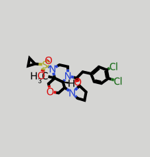 CC12COCC(N3CCCC3)[C@H]1N(C(=O)Cc1ccc(Cl)c(Cl)c1)CCN2S(=O)(=O)C1CC1